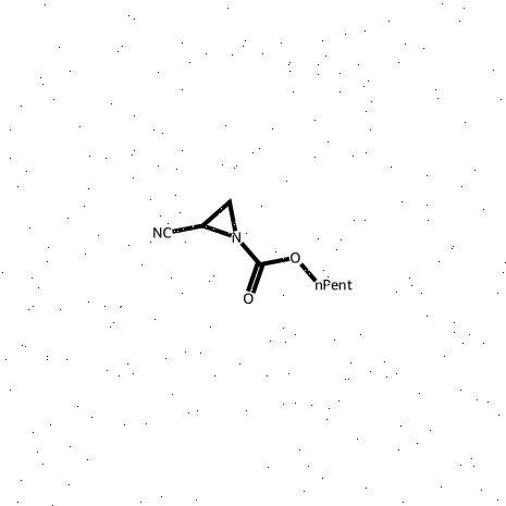 CCCCCOC(=O)N1CC1C#N